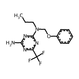 CCCN(COc1ccccc1)c1nc(N)nc(C(F)(F)F)n1